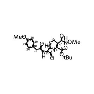 CONC(=O)C1=C(C(=O)OC(C)(C)C)N2C(=O)C(NC(=O)Cc3ccc(OC)cc3)[C@H]2SC1